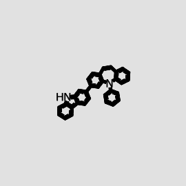 C1=Cc2ccc(-c3ccc4c(c3)[nH]c3ccccc34)cc2N(c2ccccc2)c2ccccc21